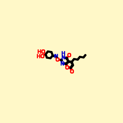 CCCCCc1cc(=O)oc2nc(ON=C3CCC(O)(O)CC3)[nH]c(=O)c12